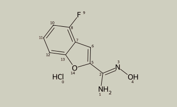 Cl.NC(=NO)c1cc2c(F)cccc2o1